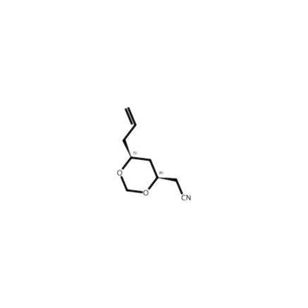 C=CC[C@H]1C[C@@H](CC#N)OCO1